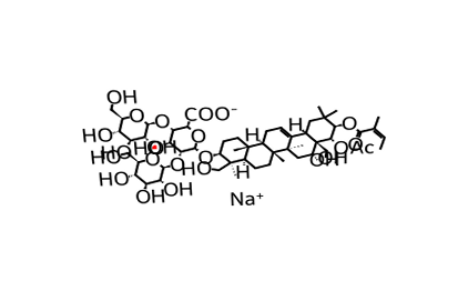 C/C=C(/C)C(=O)O[C@H]1[C@H](OC(C)=O)[C@]2(CO)[C@H](O)C[C@]3(C)C(=CC[C@@H]4[C@@]5(C)CC[C@H](O[C@@H]6O[C@H](C(=O)[O-])[C@@H](O[C@@H]7O[C@H](CO)[C@@H](O)[C@H](O)[C@H]7O)[C@H](O)[C@H]6O[C@@H]6O[C@H](CO)[C@@H](O)[C@H](O)[C@H]6O)[C@](C)(CO)[C@@H]5CC[C@]43C)[C@@H]2CC1(C)C.[Na+]